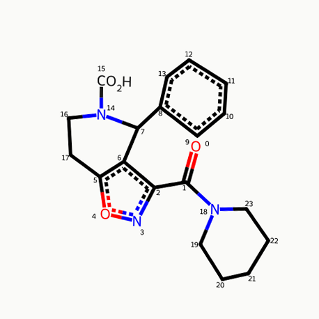 O=C(c1noc2c1C(c1ccccc1)N(C(=O)O)CC2)N1CCCCC1